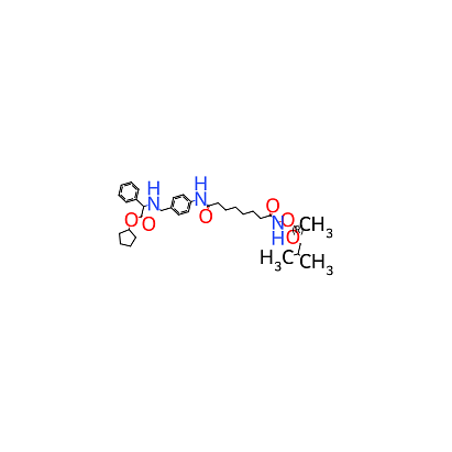 CC(C)CO[C@@H](C)ONC(=O)CCCCCCC(=O)Nc1ccc(CNC(C(=O)OC2CCCC2)c2ccccc2)cc1